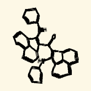 O=C(C1=C(Nc2ccccc2)c2cccc3cccc1c23)C1=C(Nc2ccccc2)c2cccc3cccc1c23